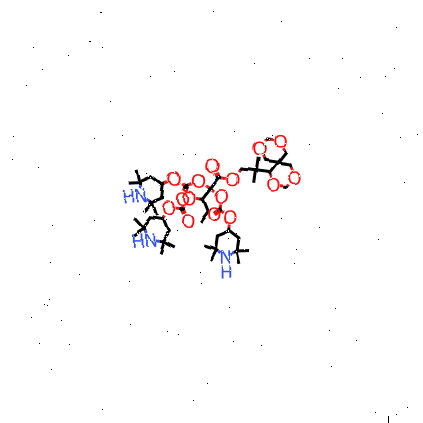 CCC(OC(=O)OC1CC(C)(C)NC(C)(C)C1)C(OC(=O)OC1CC(C)(C)NC(C)(C)C1)(OC(=O)OC1CC(C)(C)NC(C)(C)C1)C(=O)OCC(C)(C)C1OCOCC12COCOC2